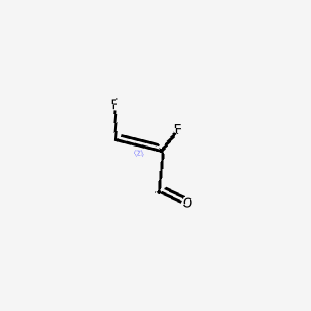 O=[C]/C(F)=C/F